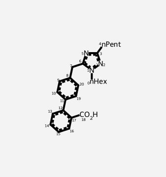 CCCCCCn1nc(CCCCC)nc1Cc1ccc(-c2ccccc2C(=O)O)cc1